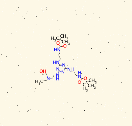 CCN(CCO)CCNc1nc(NCCCNC(=O)OC(C)(C)C)nc(NCCCNC(=O)OC(C)(C)C)n1